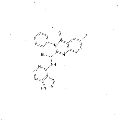 CCC(Nc1ncnc2[nH]cnc12)c1nc2ccc(F)cc2c(=O)n1-c1ccccc1